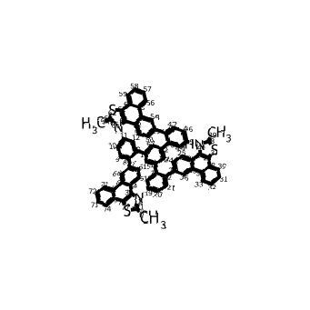 Cc1nc2c3ccc(-c4ccccc4-c4cc(-c5ccccc5-c5ccc6c7c(c8ccccc8c6c5)SC(C)N7)cc(-c5ccccc5-c5ccc6c(c5)c5ccccc5c5sc(C)nc65)c4)cc3c3ccccc3c2s1